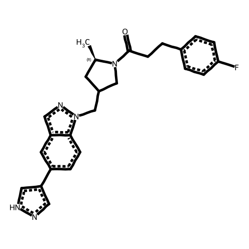 C[C@@H]1CC(Cn2ncc3cc(-c4cn[nH]c4)ccc32)CN1C(=O)CCc1ccc(F)cc1